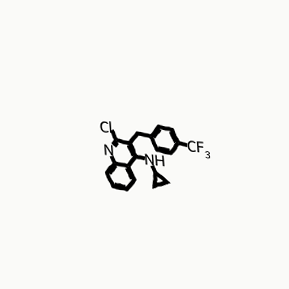 FC(F)(F)c1ccc(Cc2c(Cl)nc3ccccc3c2NC2CC2)cc1